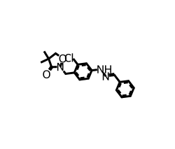 CC1(C)CON(Cc2ccc(NN=Cc3ccccc3)cc2Cl)C1=O